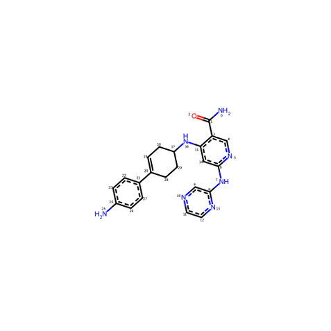 NC(=O)c1cnc(Nc2cnccn2)cc1NC1CC=C(c2ccc(N)cc2)CC1